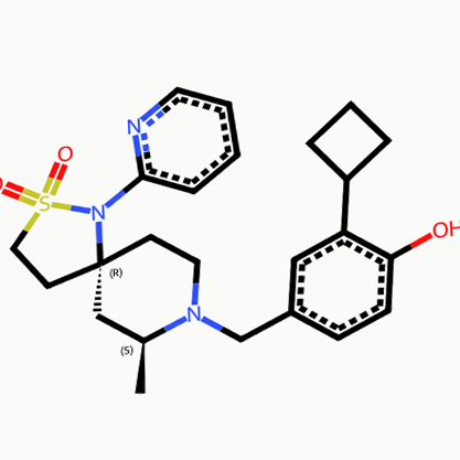 C[C@H]1C[C@]2(CCN1Cc1ccc(O)c(C3CCC3)c1)CCS(=O)(=O)N2c1ccccn1